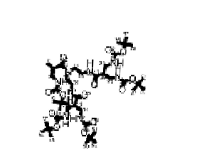 CC(CNC(=O)OC(C)(C)C)C(=O)N(CCNC(=O)C(CNC(=O)OC(C)(C)C)CNC(=O)OC(C)(C)C)CCNC(=O)C(CNC(=O)OC(C)(C)C)CNC(=O)OC(C)(C)C